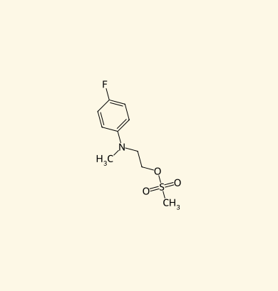 CN(CCOS(C)(=O)=O)c1ccc(F)cc1